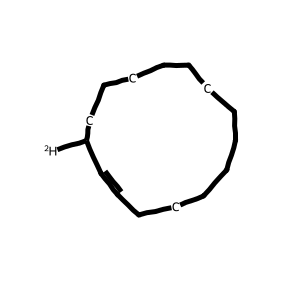 [2H]C1C=CCCCCCCCCCCCC1